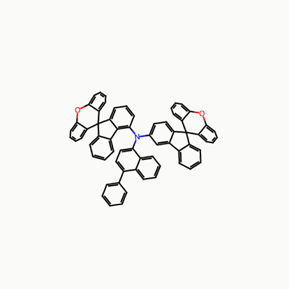 c1ccc(-c2ccc(N(c3ccc4c(c3)-c3ccccc3C43c4ccccc4Oc4ccccc43)c3cccc4c3-c3ccccc3C43c4ccccc4Oc4ccccc43)c3ccccc23)cc1